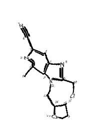 Cc1nc(C#N)cc2nc(CCl)n(CC3CCO3)c12